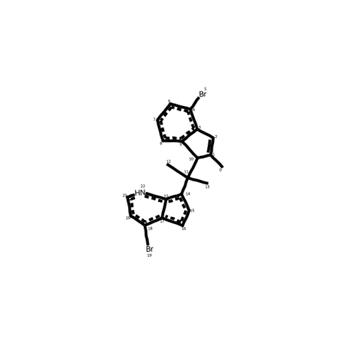 CC1=Cc2c(Br)cccc2C1C(C)(C)c1ccc2c(Br)cc[nH]c1-2